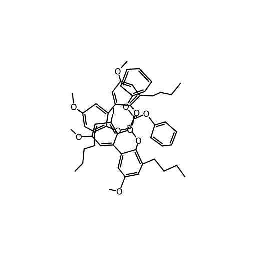 CCCCc1cc(OC)cc(-c2cc(OC)cc(I)c2OP(Oc2ccccc2)Oc2ccccc2)c1Op1oc2c(CCCC)cc(OC)cc2c2cc(OC)cc(CCCC)c2o1